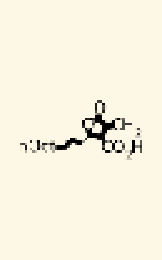 C=C1C(=O)O[C@@H](CCCCCCCCCCC)[C@@H]1C(=O)O